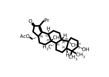 CC(=O)OC[C@@]12CC[C@]3(C)[C@H](CC[C@@H]4[C@@]5(C)CC[C@H](O)C(C)(C)[C@@H]5CC[C@]43C)C1=C(C(C)C)C(=O)C2